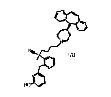 CC(C#N)(CCCCN1CCC(=C2c3ccccc3C=Cc3ccccc32)CC1)c1ccccc1Cc1cccc(O)c1.Cl